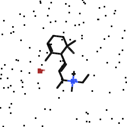 CC[N+](C)(C)C(C)/C=C/C1C(C)=CCCC1(C)C.[Br-]